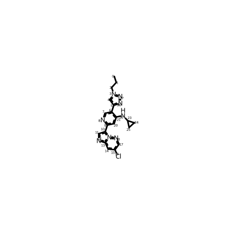 CCCn1cc(-c2cnc(-c3cnc4cc(Cl)cnn34)cc2NC2CC2)nn1